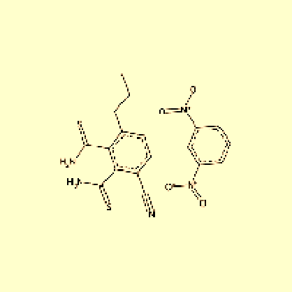 CCCc1ccc(C#N)c(C(N)=S)c1C(N)=S.O=[N+]([O-])c1cccc([N+](=O)[O-])c1